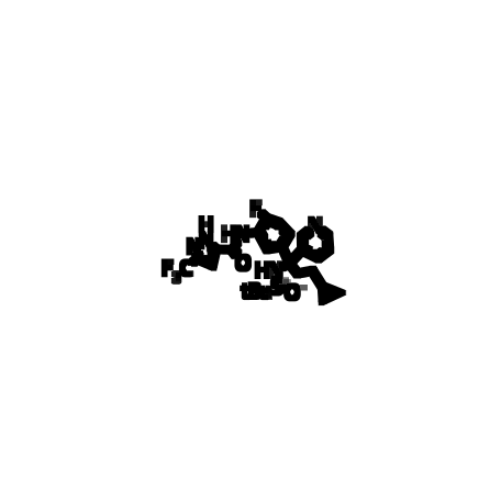 CC(C)(C)[S@@+]([O-])NC(CCC1CC1)(c1cccnc1)c1ccc(F)c(NC(=O)c2cc(C(F)(F)F)n[nH]2)c1